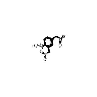 NNc1ccc(C[N+](=O)[O-])cc1C[N+](=O)[O-]